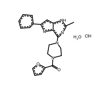 Cc1nc(N2CCN(C(=O)c3ccco3)CC2)c2nc(-c3ccccc3)cc-2[nH]1.Cl.O